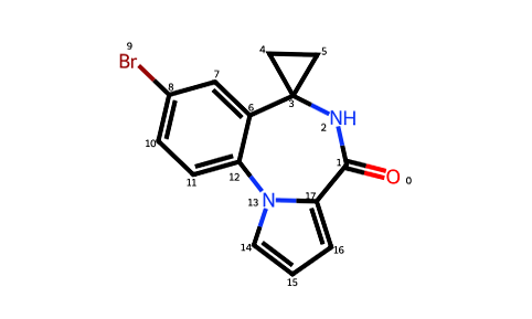 O=C1NC2(CC2)c2cc(Br)ccc2-n2cccc21